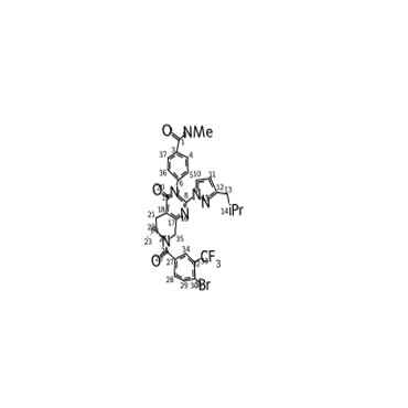 CNC(=O)c1ccc(-n2c(-n3ccc(CC(C)C)n3)nc3c(c2=O)C[C@@H](C)N(C(=O)c2ccc(Br)c(C(F)(F)F)c2)C3)cc1